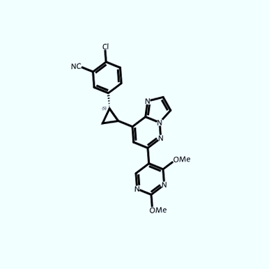 COc1ncc(-c2cc(C3C[C@@H]3c3ccc(Cl)c(C#N)c3)c3nccn3n2)c(OC)n1